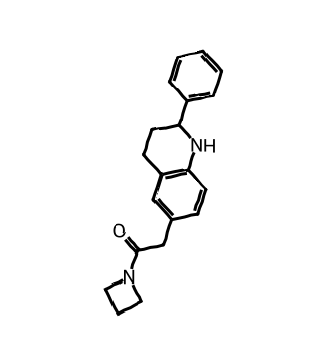 O=C(Cc1ccc2c(c1)CCC(c1ccccc1)N2)N1CCC1